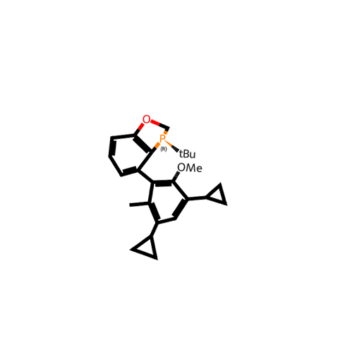 COc1c(C2CC2)cc(C2CC2)c(C)c1-c1cccc2c1[P@](C(C)(C)C)CO2